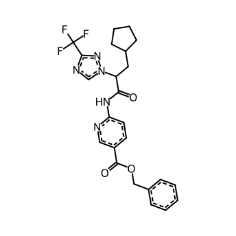 O=C(OCc1ccccc1)c1ccc(NC(=O)C(CC2CCCC2)n2cnc(C(F)(F)F)n2)nc1